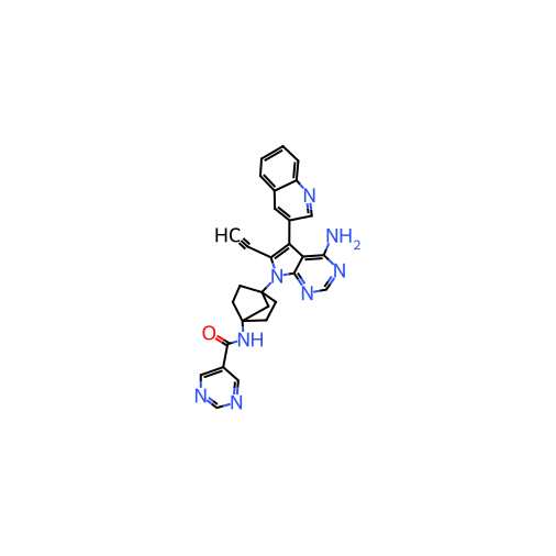 C#Cc1c(-c2cnc3ccccc3c2)c2c(N)ncnc2n1C12CCC(NC(=O)c3cncnc3)(CC1)C2